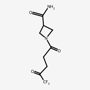 NC(=O)C1CN(C(=O)CCC(=O)C(F)(F)F)C1